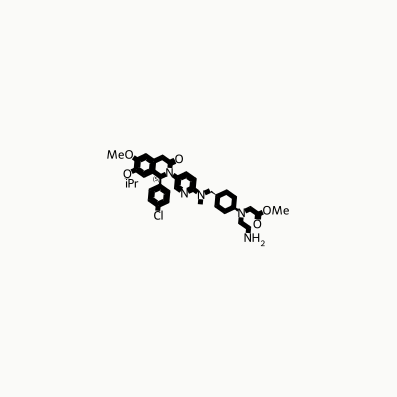 COC(=O)CN(CCN)[C@H]1CC[C@H](CN(C)c2ccc(N3C(=O)Cc4cc(OC)c(OC(C)C)cc4[C@@H]3c3ccc(Cl)cc3)cn2)CC1